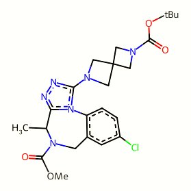 COC(=O)N1Cc2cc(Cl)ccc2-n2c(nnc2N2CC3(CN(C(=O)OC(C)(C)C)C3)C2)C1C